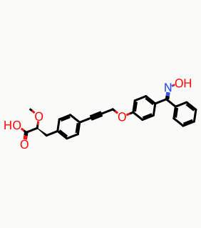 CO[C@@H](Cc1ccc(C#CCOc2ccc(C(=NO)c3ccccc3)cc2)cc1)C(=O)O